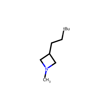 CN1CC(CCC(C)(C)C)C1